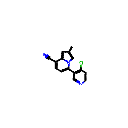 Cc1cc2c(C#N)ccc(-c3cnccc3Cl)n2c1